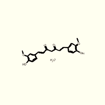 COc1cc(C=CC(=O)CC(=O)C=Cc2ccc(O)c(OC)c2)ccc1O.O